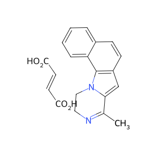 CC1=NCCn2c1cc1ccc3ccccc3c12.O=C(O)C=CC(=O)O